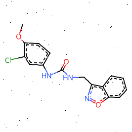 COc1ccc(NC(=O)NCc2noc3ccccc23)cc1Cl